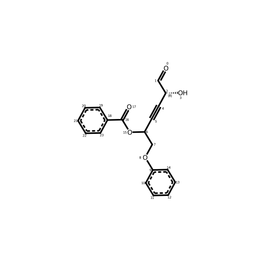 O=C[C@H](O)C#CC(COc1ccccc1)OC(=O)c1ccccc1